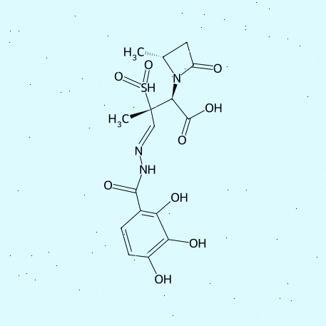 C[C@@H]1CC(=O)N1[C@@H](C(=O)O)[C@](C)(/C=N/NC(=O)c1ccc(O)c(O)c1O)[SH](=O)=O